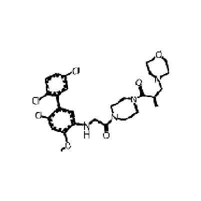 C=C(CN1CCOCC1)C(=O)N1CCN(C(=O)CNc2cc(-c3cc(Cl)ccc3Cl)c(Cl)cc2OC)CC1